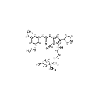 CC(C)(C)OC=O.COc1cc(CC(=O)Cc2nn([C@H]3CCNC3)c(NCCBr)c2C#N)cc(OC)c1